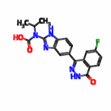 CC(C)N(C(=O)O)c1nc2cc(-c3n[nH]c(=O)c4ccc(F)cc34)ccc2[nH]1